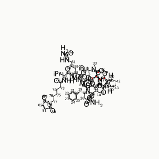 CC[C@H](C)[C@@H](C(CC(=O)N1CCC[C@H]1[C@H](OC)[C@@H](C)C(=O)N[C@@H](Cc1ccccc1)CS(N)(=O)=O)OC)N(C)C(=O)[C@@H](NC(=O)C1[C@H]2CC[C@H](C2)N1C(=O)OCc1ccc(NC(=O)[C@H](CCCNC(N)=O)NC(=O)[C@@H](NC(=O)CCCCCN2C(=O)C=CC2=O)C(C)C)cc1)C(C)C